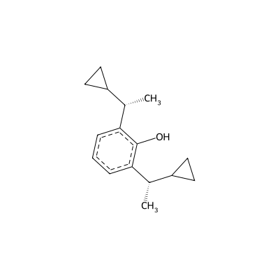 C[C@H](c1cccc([C@@H](C)C2CC2)c1O)C1CC1